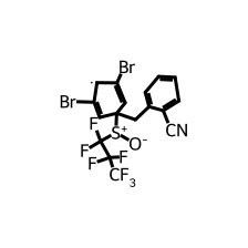 N#Cc1ccccc1CC1([S+]([O-])C(F)(F)C(F)(F)C(F)(F)F)C=C(Br)[CH]C(Br)=C1